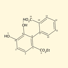 CCOC(=O)c1ccc(O)c(O)c1-c1ccccc1C(=O)O